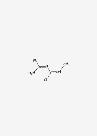 C/N=C(Cl)\N=C(/N)C(C)C